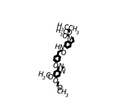 COCCOc1cc2ncnc(Oc3ccc(CC(=O)Nc4ccc5c(c4)N(C(=O)OC(C)(C)C)CC5)cc3)c2cc1OC